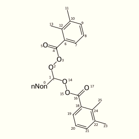 [CH2]CCCCCCCC[C](OOC(=O)c1cccc(C)c1C)OOC(=O)c1cccc(C)c1C